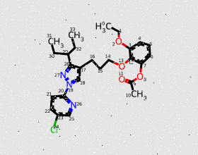 CCOc1cccc(OC(C)=O)c1OCCCc1cn(-c2ccc(Cl)cn2)nc1C(CC)CC